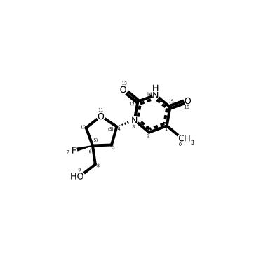 Cc1cn([C@@H]2C[C@](F)(CO)CO2)c(=O)[nH]c1=O